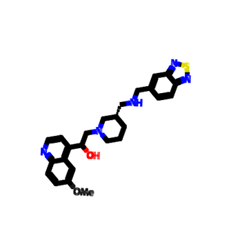 COc1ccc2nccc(C(O)CN3CCC[C@@H](CNCc4ccc5nsnc5c4)C3)c2c1